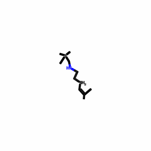 CC(C)=C[SiH2]CCNC[Si](C)(C)C